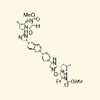 CC[C@H](NC(=O)OC)C(=O)N1C[C@H](C)C[C@H]1C1=NCC(c2ccc(-c3ccc4cc(C5CN=C([C@@H]6C[C@@H](C)[C@@H](C)N6C(=O)[C@H](CC)NC(=O)OC)N5)ccc4c3)cc2)N1